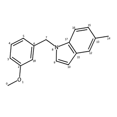 COc1cccc(Cn2ccc3cc(C)ccc32)c1